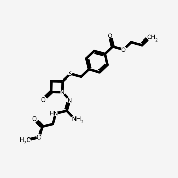 C=CCOC(=O)c1ccc(CSC2CC(=O)N2N=C(N)NCC(=O)OC)cc1